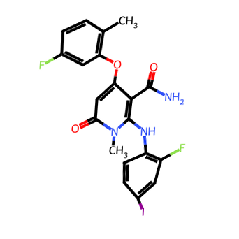 Cc1ccc(F)cc1Oc1cc(=O)n(C)c(Nc2ccc(I)cc2F)c1C(N)=O